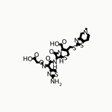 CN1C=Cc2sc(SCC3=C(C(=O)O)N4C(=O)C(NC(=O)/C(=N\OCC(=O)O)c5csc(N)n5)[C@H]4SC3)nc2C1